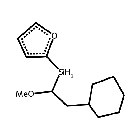 COC(CC1CCCCC1)[SiH2]c1ccco1